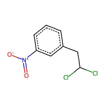 O=[N+]([O-])c1cccc(CC(Cl)Cl)c1